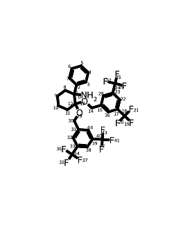 NC1(c2ccccc2)CCCCC1(OCc1cc(C(F)(F)F)cc(C(F)(F)F)c1)OCc1cc(C(F)(F)F)cc(C(F)(F)F)c1